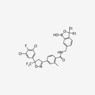 CCC1(CC)OB(O)c2cc(CNC(=O)c3ccc(C4=NOC(c5cc(Cl)c(F)c(Cl)c5)(C(F)(F)F)C4)cc3C)ccc21